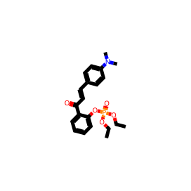 CCOP(=O)(OCC)Oc1ccccc1C(=O)/C=C/c1ccc(N(C)C)cc1